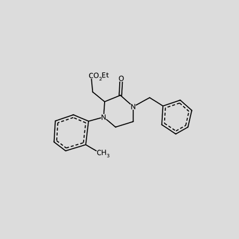 CCOC(=O)CC1C(=O)N(Cc2ccccc2)CCN1c1ccccc1C